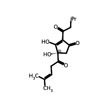 CC(C)=CCC(=O)[C@]1(O)CC(=O)C(C(=O)CC(C)C)=C1O